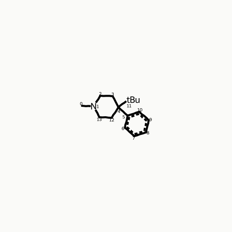 CN1CCC(c2ccccc2)(C(C)(C)C)CC1